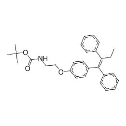 CC/C(=C(\c1ccccc1)c1ccc(OCCNC(=O)OC(C)(C)C)cc1)c1ccccc1